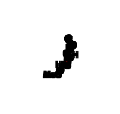 COc1ccc(CCNC(=O)c2ccc(S(=O)(=O)NC(=O)c3ccc(C(=O)OCc4ccccc4)nc3)cc2)cc1